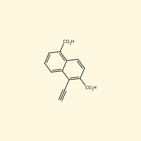 C#Cc1c(C(=O)O)ccc2c(C(=O)O)cccc12